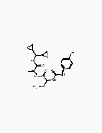 CC(NC(=O)C(CC(=O)O)NC(=O)Nc1ccc(C#N)cc1)C(=O)NC(C1CC1)C1CC1